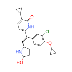 O=c1[nH]c(/C(=C/[C@H]2CCC(O)N2)c2ccc(OC3CC3)c(Cl)c2)ccc1C1CC1